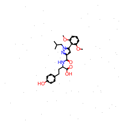 COc1cccc(OC)c1-c1cc(C(=O)NC(CCc2ccc(O)cc2)C(=O)O)nn1CC(C)C